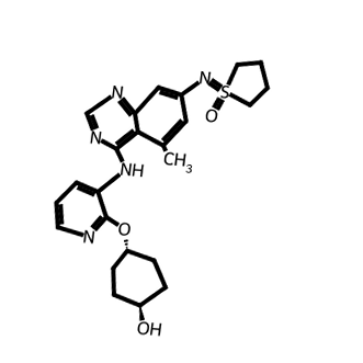 Cc1cc(N=S2(=O)CCCC2)cc2ncnc(Nc3cccnc3O[C@H]3CC[C@H](O)CC3)c12